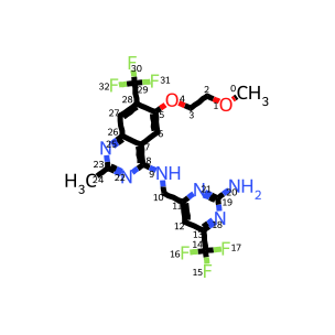 COCCOc1cc2c(NCc3cc(C(F)(F)F)nc(N)n3)nc(C)nc2cc1C(F)(F)F